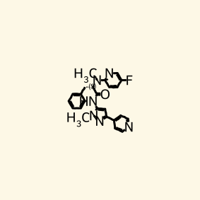 CN(c1ccc(F)cn1)[C@@H](Cc1ccccc1)C(=O)Nc1cc(-c2ccncc2)nn1C